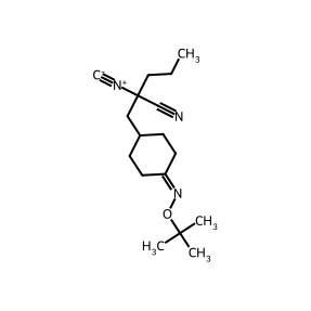 [C-]#[N+]C(C#N)(CCC)CC1CCC(=NOC(C)(C)C)CC1